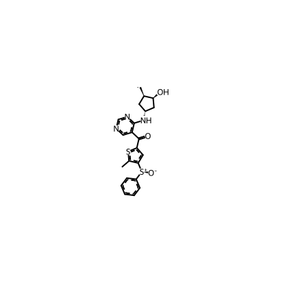 [CH2][C@@H]1C[C@@H](Nc2ncncc2C(=O)c2cc([S@@+]([O-])c3ccccc3)c(C)s2)C[C@@H]1O